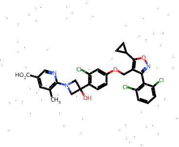 Cc1cc(C(=O)O)cnc1N1CC(O)(c2ccc(OCc3c(-c4c(Cl)cccc4Cl)noc3C3CC3)cc2Cl)C1